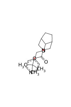 CC(C)(C)OC(=O)N1CC2CCC(C1)C2OCc1ccncc1